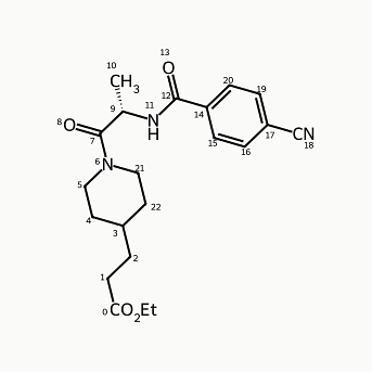 CCOC(=O)CCC1CCN(C(=O)[C@H](C)NC(=O)c2ccc(C#N)cc2)CC1